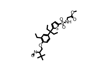 CCc1cc(C(CC)(CC)c2ccc(S(=O)(=O)NCC(=O)OC)s2)ccc1OCC(N=O)C(C)(C)C